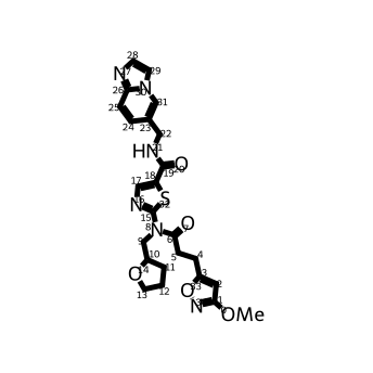 COc1cc(CCC(=O)N(CC2CCCO2)c2ncc(C(=O)NCc3ccc4nccn4c3)s2)on1